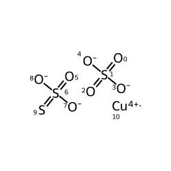 O=S(=O)([O-])[O-].O=S([O-])([O-])=S.[Cu+4]